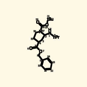 CCCNC1CC(C(=O)OCc2ccccc2)CCN1C(=O)OC(C)(C)C